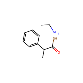 CC(C(=O)S)c1ccccc1.CCN